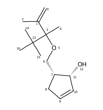 C=C(C)C(C)(OC[C@H]1CC=C[C@H]1O)C(C)(C)C